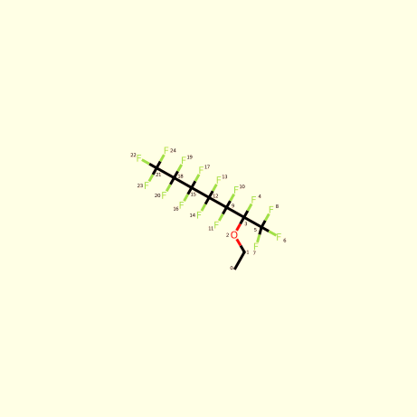 CCOC(F)(C(F)(F)F)C(F)(F)C(F)(F)C(F)(F)C(F)(F)C(F)(F)F